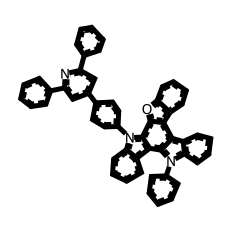 c1ccc(-c2cc(-c3ccc(-n4c5ccccc5c5c4c4oc6ccccc6c4c4c6ccccc6n(-c6ccccc6)c45)cc3)cc(-c3ccccc3)n2)cc1